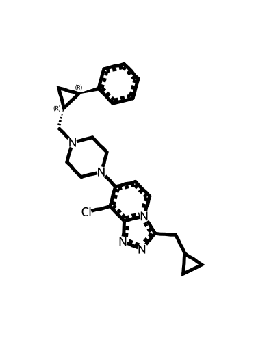 Clc1c(N2CCN(C[C@@H]3C[C@H]3c3ccccc3)CC2)ccn2c(CC3CC3)nnc12